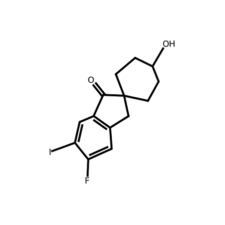 O=C1c2cc(I)c(F)cc2CC12CCC(O)CC2